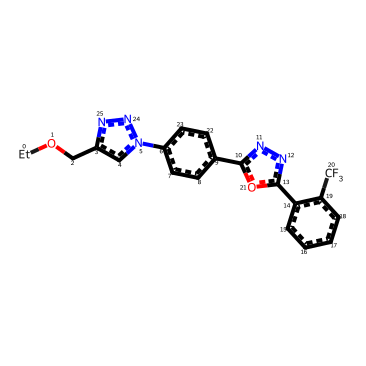 CCOCc1cn(-c2ccc(-c3nnc(-c4ccccc4C(F)(F)F)o3)cc2)nn1